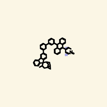 C=N/C=C\C(=C/C)c1c2ccccc2c(-c2cccc(-c3cccc(-c4ccc5c(c4)-c4ccccc4C54C(C)CC56CC5CC4C6)c3)c2)c2ccccc12